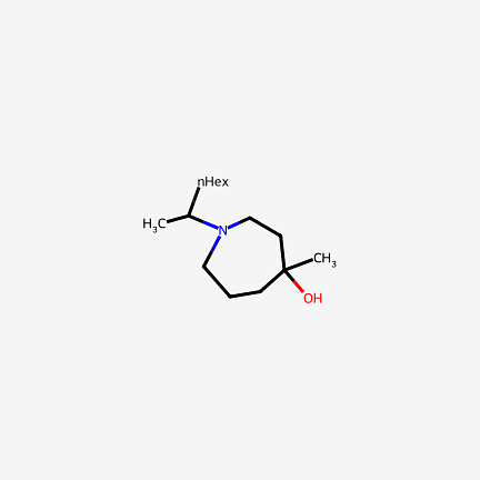 CCCCCCC(C)N1CCCC(C)(O)CC1